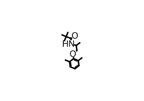 Cc1cccc(C)c1OCC(C)NC(=O)C(C)(C)C